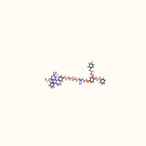 N=C(/C(=C1/N=C(C(F)(F)F)C=C(C(F)(F)F)N1)c1ccc(OCCOCCOCCNCCCOc2ccc(OCCc3ccccc3)c(OCCCc3ccccc3)c2)cc1)c1ccccc1